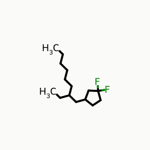 CCCCCCC(CC)CC1CCC(F)(F)C1